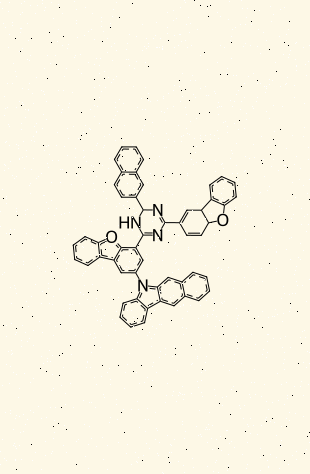 C1=CC2Oc3ccccc3C2C=C1C1=NC(c2ccc3ccccc3c2)NC(c2cc(-n3c4ccccc4c4cc5ccccc5cc43)cc3c2oc2ccccc23)=N1